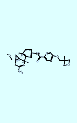 COC[C@]12C[C@H]1[C@](C)(c1cc(NC(=O)c3cnc(OCC4(C)COC4)cn3)ccc1F)N=C(N)S2